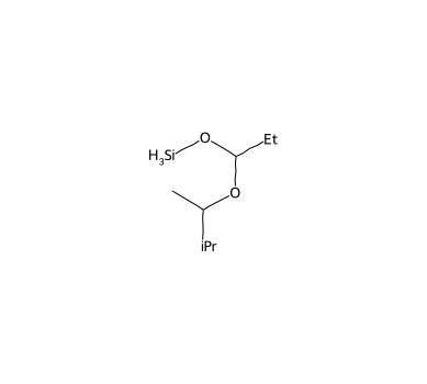 CCC(O[SiH3])OC(C)C(C)C